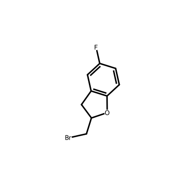 Fc1ccc2c(c1)CC(CBr)O2